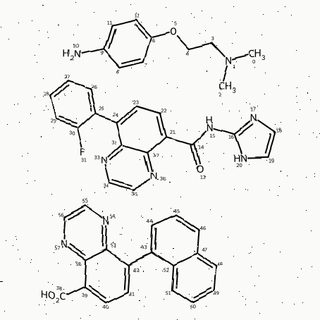 CN(C)CCOc1ccc(N)cc1.O=C(Nc1ncc[nH]1)c1ccc(-c2ccccc2F)c2nccnc12.O=C(O)c1ccc(-c2cccc3ccccc23)c2nccnc12